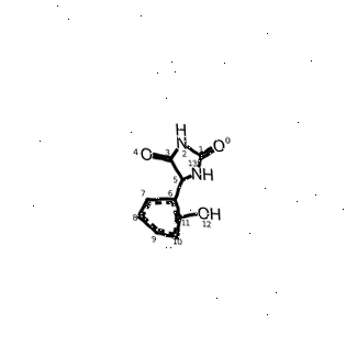 O=C1NC(=O)C(c2ccccc2O)N1